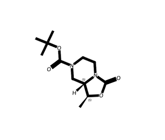 C[C@@H]1OC(=O)N2CCN(C(=O)OC(C)(C)C)C[C@@H]12